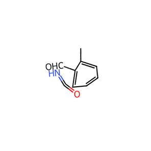 Cc1ccccc1C=O.N=C=O